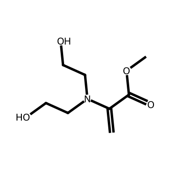 C=C(C(=O)OC)N(CCO)CCO